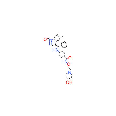 C/C(=C(\Nc1ccc(C(=O)NOCCN2CCC(O)CC2)cc1)c1ccccc1)c1cc(C)c(C)cc1NC=O